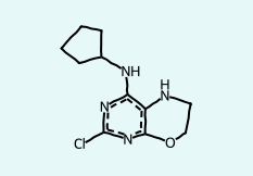 Clc1nc(NC2CCCC2)c2c(n1)OCCN2